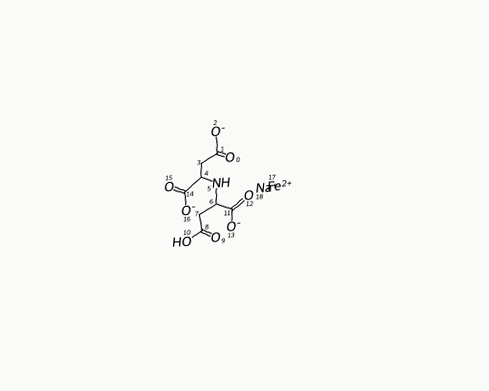 O=C([O-])CC(NC(CC(=O)O)C(=O)[O-])C(=O)[O-].[Fe+2].[Na+]